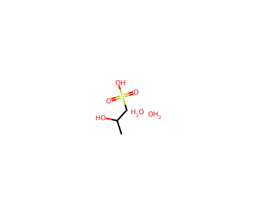 CC(O)CS(=O)(=O)O.O.O